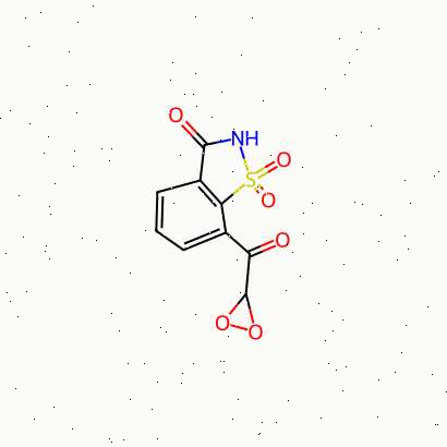 O=C1NS(=O)(=O)c2c1cccc2C(=O)C1OO1